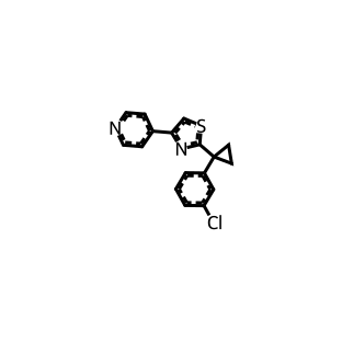 Clc1cccc(C2(c3nc(-c4ccncc4)cs3)CC2)c1